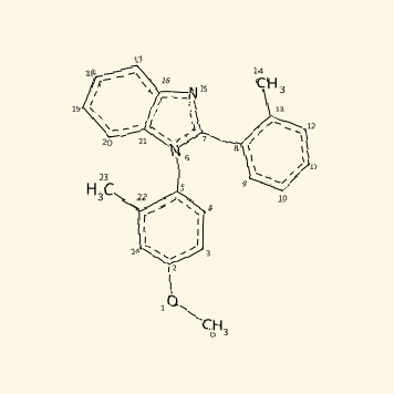 COc1ccc(-n2c(-c3ccccc3C)nc3ccccc32)c(C)c1